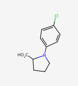 O=C(O)C1CCCN1c1ccc(Cl)cc1